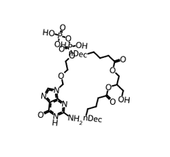 CCCCCCCCCCCCCC(=O)OCC(CO)OC(=O)CCCCCCCCCCCCC.Nc1nc2c(ncn2COCCOP(=O)(O)OP(=O)(O)O)c(=O)[nH]1